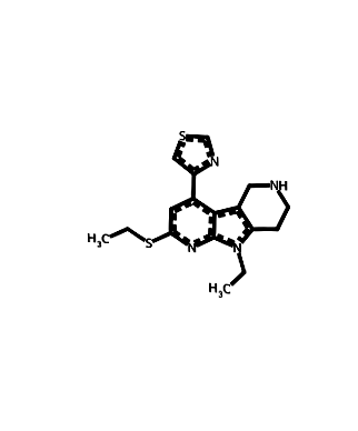 CCSc1cc(-c2cscn2)c2c3c(n(CC)c2n1)CCNC3